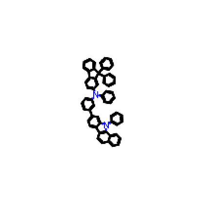 c1ccc(N(c2cccc(-c3ccc4c5ccc6ccccc6c5n(-c5ccccc5)c4c3)c2)c2ccc3c(c2)C(c2ccccc2)(c2ccccc2)c2ccccc2-3)cc1